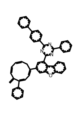 C=C1/C=C\C=C/C/C(c2cc(-c3nc(-c4ccccc4)nc(-c4ccc(-c5ccccc5)cc4)n3)c3c(c2)oc2ccccc23)=C\C=C/1c1ccccc1